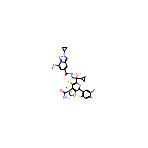 COc1cc(C(=O)NCC(O)(c2nc(-c3cc(Cl)c(F)cc3F)c3c(c2F)[C@](C)(C(N)=O)CO3)C2CC2)cc2cn(C3CC3)nc12